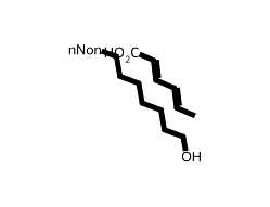 C/C=C/C=C/C(=O)O.CCCCCCCCCCCCCCCCO